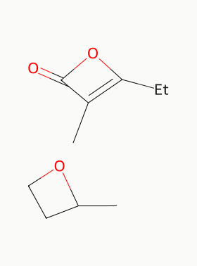 CC1CCO1.CCC1=C(C)C(=O)O1